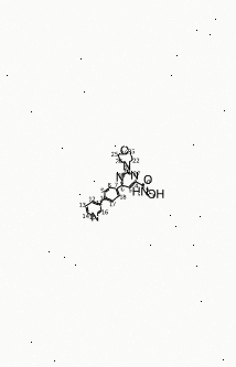 O=C(NO)c1cc(-c2ccc(-c3cccnc3)cc2)nc(N2CCOCC2)n1